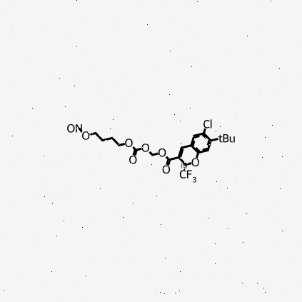 CC(C)(C)c1cc2c(cc1Cl)C=C(C(=O)OCOC(=O)OCCCCON=O)[C@@H](C(F)(F)F)O2